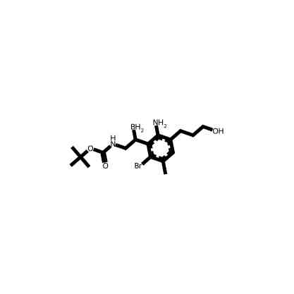 BC(CNC(=O)OC(C)(C)C)c1c(N)c(CCCO)cc(C)c1Br